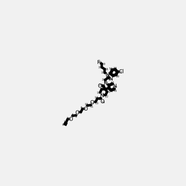 C#CCOCCOCCOCCOCCC(=O)N1CCC2(CC1)C(=O)N(Cc1nc3cc(Cl)ccc3n1CCCCF)c1cnccc12